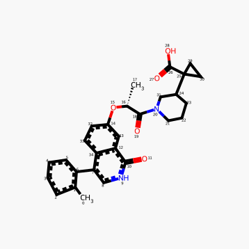 Cc1ccccc1-c1c[nH]c(=O)c2cc(O[C@H](C)C(=O)N3CCCC(C4(C(=O)O)CC4)C3)ccc12